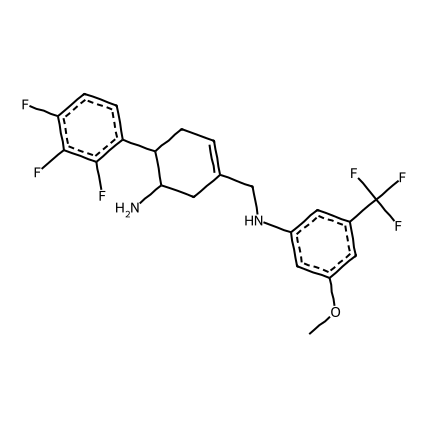 COc1cc(NCC2=CCC(c3ccc(F)c(F)c3F)C(N)C2)cc(C(F)(F)F)c1